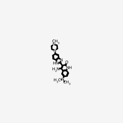 CN1CCN(c2ccc3[nH]c(-c4c(N)c5cc(N(C)C)ccc5[nH]c4=O)nc3c2)CC1